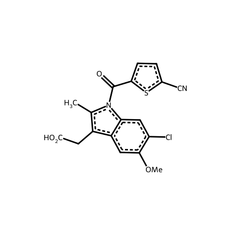 COc1cc2c(CC(=O)O)c(C)n(C(=O)c3ccc(C#N)s3)c2cc1Cl